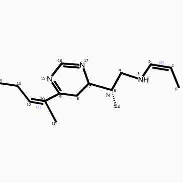 C/C=C\NC[C@H](C)C1CC(/C(C)=C\CC)=NC=N1